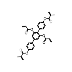 C=CC(=O)Oc1cc(-c2ccc(OC(=O)C(=C)C)cc2)cc(OC(=O)C=C)c1-c1ccc(OC(=O)C(=C)C)cc1